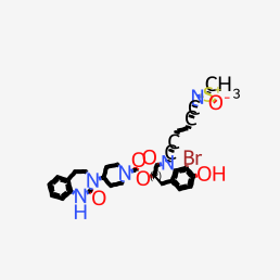 C[S+]([O-])N=C=C=CC=C=C=NC(=O)[C@@H](Cc1ccc(O)c(Br)c1)OC(=O)N1CCC(N2CCc3ccccc3NC2=O)CC1